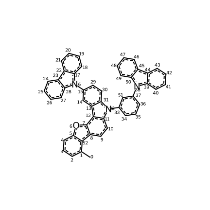 Cc1cccc2oc3c(ccc4c3c3cc(-n5c6ccccc6c6ccccc65)ccc3n4-c3cccc(-n4c5ccccc5c5ccccc54)c3)c12